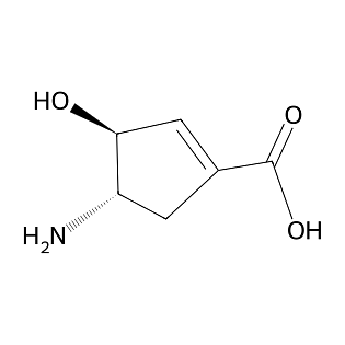 N[C@H]1CC(C(=O)O)=C[C@@H]1O